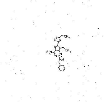 CCc1cnn(C2=NC3C(N)=NC(NCc4ccccc4)=NC3N2CC)c1